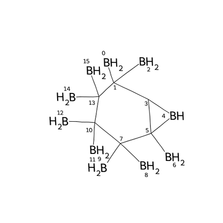 BC1(B)C2BC2(B)C(B)(B)C(B)(B)C1(B)B